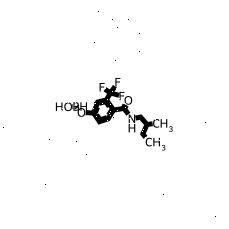 CCC(C)CNC(=O)c1ccc(OBO)cc1C(F)(F)F